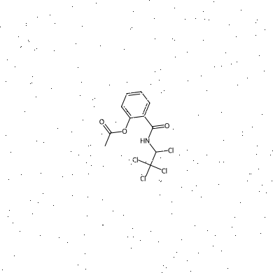 CC(=O)Oc1ccccc1C(=O)NC(Cl)C(Cl)(Cl)Cl